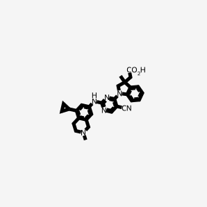 CN1CCc2c(cc(Nc3ncc(C#N)c(N4CC(C)(CC(=O)O)c5ccccc54)n3)cc2C2CC2)C1